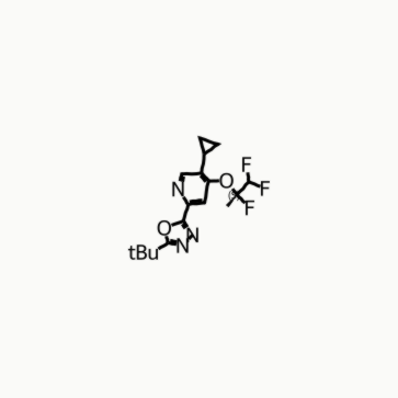 CC(C)(C)c1nnc(-c2cc(O[C@@](C)(F)C(F)F)c(C3CC3)cn2)o1